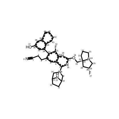 N#CCCc1cc2c(N3CC4CCC(C3)N4)nc(OC[C@@]34CCCN3C[C@H](F)C4)nc2c(F)c1-c1cc(O)cc2ccccc12